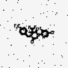 CC1(C(F)F)C(=O)N(c2ncc(Cl)cc2F)CC(=O)N1Cc1ccc(C(F)(F)F)cc1